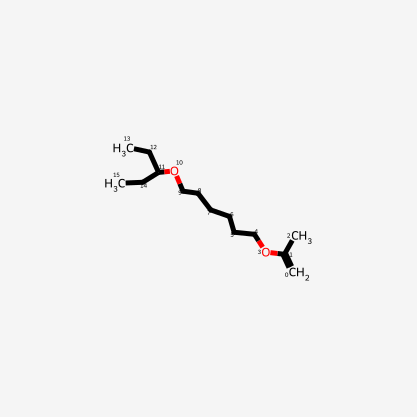 C=C(C)OCCCCCCOC(CC)CC